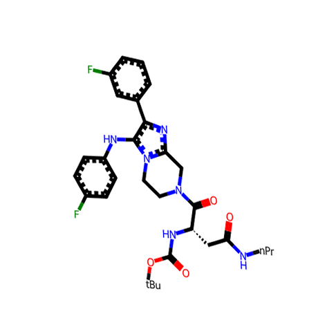 CCCNC(=O)C[C@H](NC(=O)OC(C)(C)C)C(=O)N1CCn2c(nc(-c3cccc(F)c3)c2Nc2ccc(F)cc2)C1